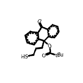 CC(C)(C)C(=O)OC1(CCCS)c2ccccc2C(=O)c2ccccc21